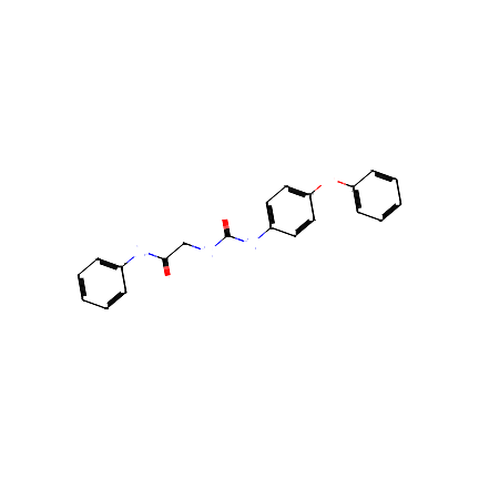 O=C(CNC(=O)Nc1ccc(Oc2ccccc2)cc1)Nc1ccccc1